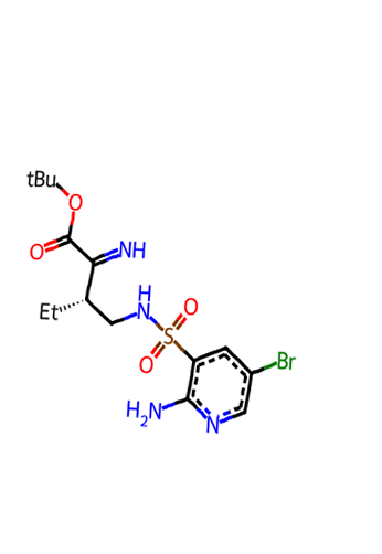 CC[C@@H](CNS(=O)(=O)c1cc(Br)cnc1N)C(=N)C(=O)OC(C)(C)C